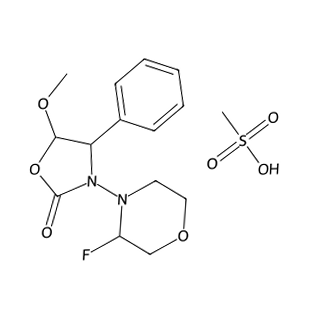 COC1OC(=O)N(N2CCOCC2F)C1c1ccccc1.CS(=O)(=O)O